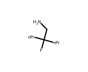 CCCC(F)(CN)CCC